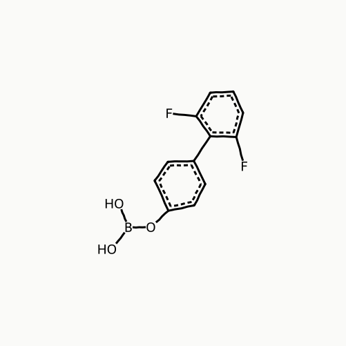 OB(O)Oc1ccc(-c2c(F)cccc2F)cc1